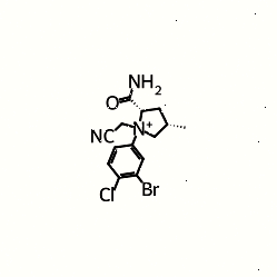 C[C@H]1C[C@@H](C(N)=O)[N+](CC#N)(c2ccc(Cl)c(Br)c2)C1